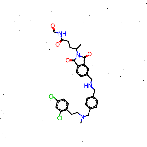 CC(CCC(=O)NC=O)N1C(=O)c2ccc(CNCc3ccc(CN(C)CCc4ccc(Cl)cc4Cl)cc3)cc2C1=O